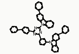 c1ccc(-c2ccc(-c3nc(-c4cccc(-n5c6ccccc6c6cc(-c7ccccc7)ccc65)c4)nc(-n4c5ccccc5c5cc(-c6ccccc6)ccc54)n3)cc2)cc1